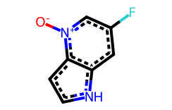 [O-][n+]1cc(F)cc2[nH]ccc21